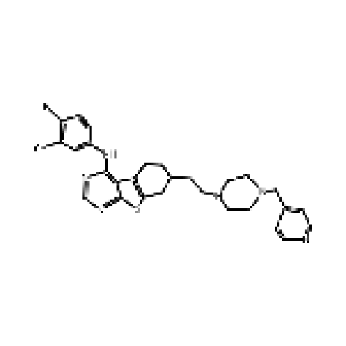 Fc1ccc(Nc2ncnc3sc4c(c23)CCC(CCN2CCN(Cc3ccncc3)CC2)C4)cc1Cl